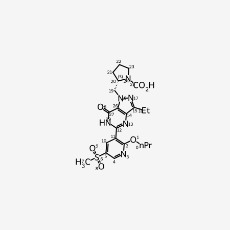 CCCOc1ncc(S(C)(=O)=O)cc1-c1nc2c(CC)nn(C[C@@H]3CCCN3C(=O)O)c2c(=O)[nH]1